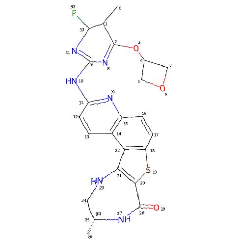 CC1C(OC2COC2)=NC(Nc2ccc3c(ccc4sc5c(c43)NC[C@@H](C)NC5=O)n2)=NC1F